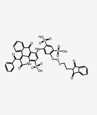 O=C(c1ccccc1)c1c2c3c(c(Nc4cc(OOSCCC5C(=O)c6ccccc6C5=O)c(S(=O)(=O)O)cc4S(=O)(=O)O)cc(S(=O)(=O)O)c3[nH]c1=O)C(=O)c1ccccc1-2